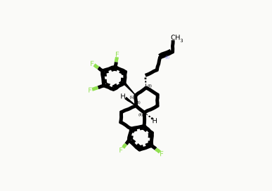 C/C=C/CC[C@@H]1CC[C@H]2c3cc(F)cc(F)c3CC[C@@H]2[C@H]1c1cc(F)c(F)c(F)c1